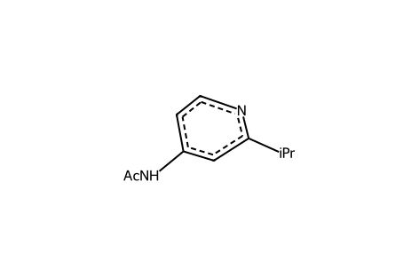 CC(=O)Nc1ccnc(C(C)C)c1